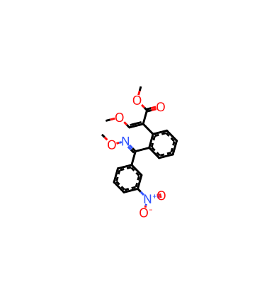 COC=C(C(=O)OC)c1ccccc1C(=NOC)c1cccc([N+](=O)[O-])c1